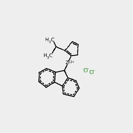 CC(C)C1=[C]([Zr+2][CH]2c3ccccc3-c3ccccc32)CC=C1.[Cl-].[Cl-]